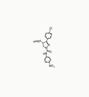 CCCCCCCC1CN(C(=O)Nc2ccc([N+](=O)[O-])cc2)N=C1c1ccc(Cl)cc1